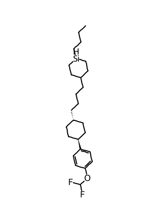 CCCC[SiH]1CCC(CCCC[C@H]2CC[C@H](c3ccc(OC(F)F)cc3)CC2)CC1